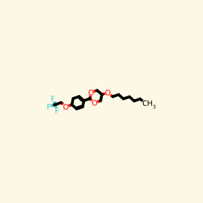 CCCCCCCOC1COC(C2=CCC(OCC(F)(F)F)C=C2)OC1